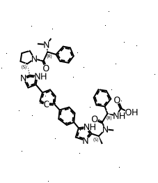 C[C@@H](c1ncc(-c2ccc(-c3ccc(-c4cnc([C@@H]5CCCN5C(=O)[C@@H](c5ccccc5)N(C)C)[nH]4)cc3)cc2)[nH]1)N(C)C(=O)[C@H](NC(=O)O)c1ccccc1